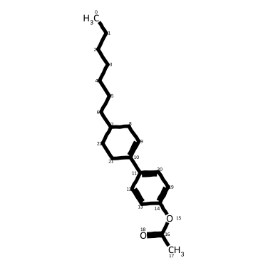 CCCCCCCC1CC=C(c2ccc(OC(C)=O)cc2)CC1